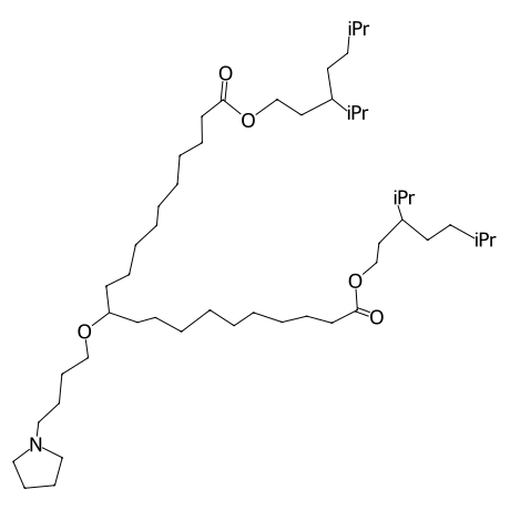 CC(C)CCC(CCOC(=O)CCCCCCCCCC(CCCCCCCCCC(=O)OCCC(CCC(C)C)C(C)C)OCCCCN1CCCC1)C(C)C